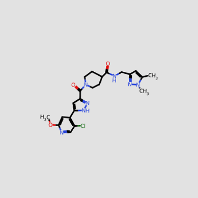 COc1cc(-c2cc(C(=O)N3CCC(C(=O)NCc4cc(C)n(C)n4)CC3)n[nH]2)c(Cl)cn1